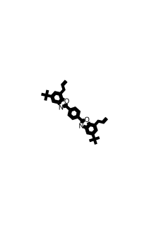 C=CCc1cc(C(C)(C)C)cc2nc(-c3ccc(-c4nc5cc(C(C)(C)C)cc(CC=C)c5o4)cc3)oc12